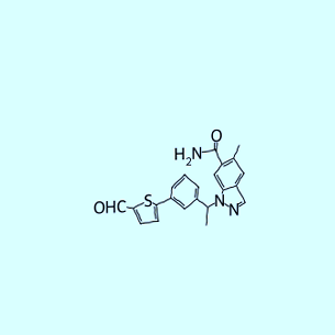 Cc1cc2cnn(C(C)c3cccc(-c4ccc(C=O)s4)c3)c2cc1C(N)=O